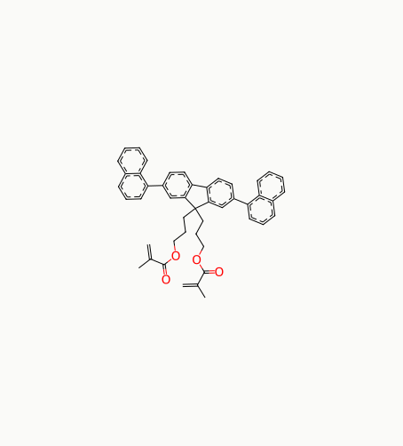 C=C(C)C(=O)OCCCC1(CCCOC(=O)C(=C)C)c2cc(-c3cccc4ccccc34)ccc2-c2ccc(-c3cccc4ccccc34)cc21